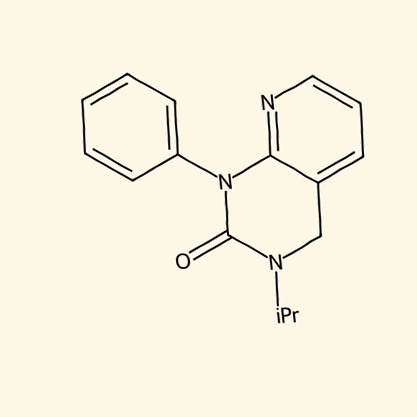 CC(C)N1Cc2cccnc2N(c2ccccc2)C1=O